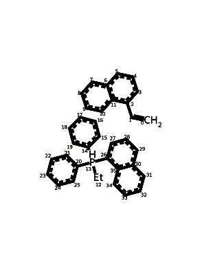 C=Cc1cccc2ccccc12.CC[PH](c1ccccc1)(c1ccccc1)c1cccc2ccccc12